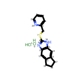 Cl.Cl.c1ccc(CSc2nc3cc4c(cc3[nH]2)CCC4)nc1